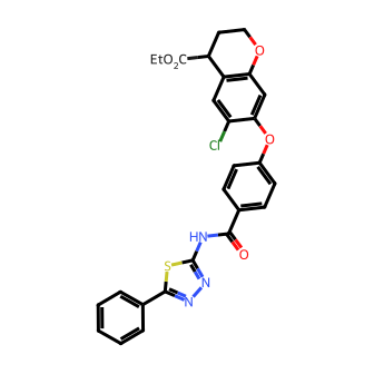 CCOC(=O)C1CCOc2cc(Oc3ccc(C(=O)Nc4nnc(-c5ccccc5)s4)cc3)c(Cl)cc21